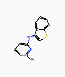 CCCc1cccc(Nc2csc3ccccc23)n1